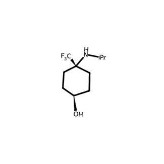 CC(C)N[C@]1(C(F)(F)F)CC[C@@H](O)CC1